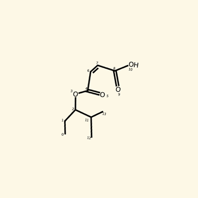 CCC(OC(=O)/C=C\C(=O)O)C(C)C